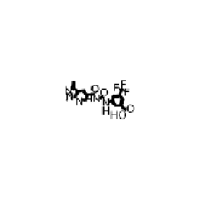 Cc1nn(C)c2ncc(C(=O)NC(=O)Nc3cc(C(=O)O)cc(C(F)(F)F)c3)cc12